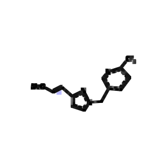 CO/C=C/c1ccn(Cc2ccc(C(F)(F)F)nc2)n1